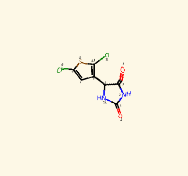 O=C1NC(=O)C(c2cc(Cl)sc2Cl)N1